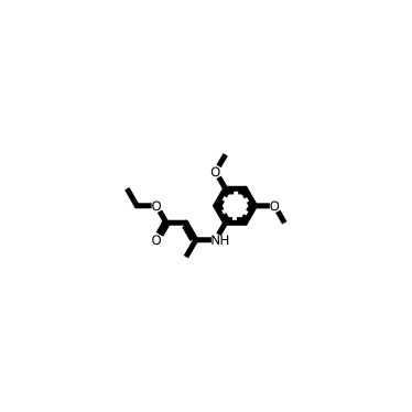 CCOC(=O)C=C(C)Nc1cc(OC)cc(OC)c1